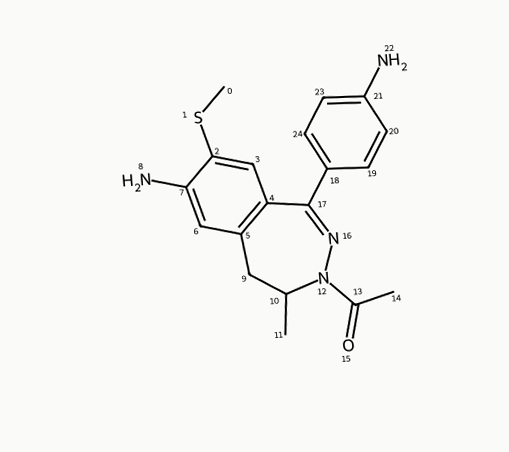 CSc1cc2c(cc1N)CC(C)N(C(C)=O)N=C2c1ccc(N)cc1